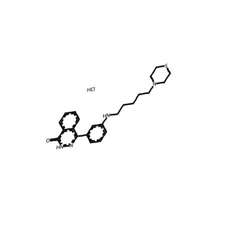 Cl.O=c1[nH]nc(-c2cccc(NCCCCCN3CCSCC3)c2)c2ccccc12